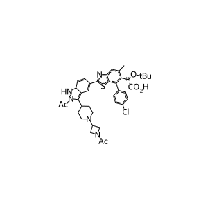 CC(=O)N1CC(N2CCC(C3=C4C=C(c5nc6cc(C)c([C@H](OC(C)(C)C)C(=O)O)c(-c7ccc(Cl)cc7)c6s5)C=CC4NN3C(C)=O)CC2)C1